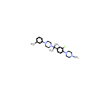 Cc1cccc(N2CCN(C(C)(C)c3ccc(N4CCN(C)CC4)c(F)c3)CC2)c1